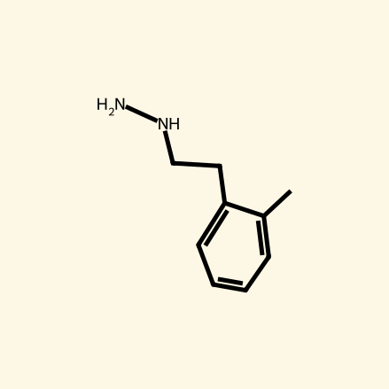 Cc1ccccc1CCNN